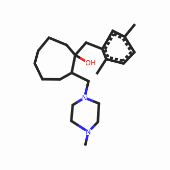 Cc1ccc(C)c(CC2(O)CCCCCCC2CN2CCN(C)CC2)c1